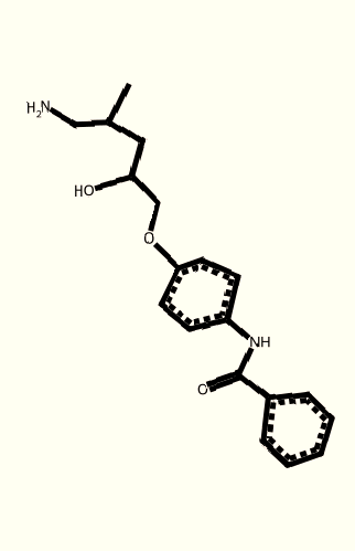 CC(CN)CC(O)COc1ccc(NC(=O)c2ccccc2)cc1